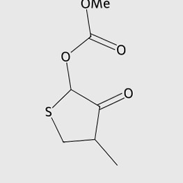 COC(=O)OC1SCC(C)C1=O